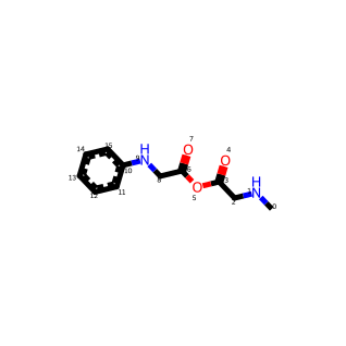 CNCC(=O)OC(=O)CNc1ccccc1